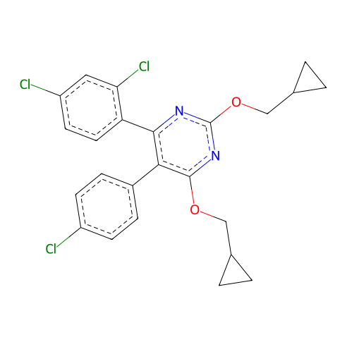 Clc1ccc(-c2c(OCC3CC3)nc(OCC3CC3)nc2-c2ccc(Cl)cc2Cl)cc1